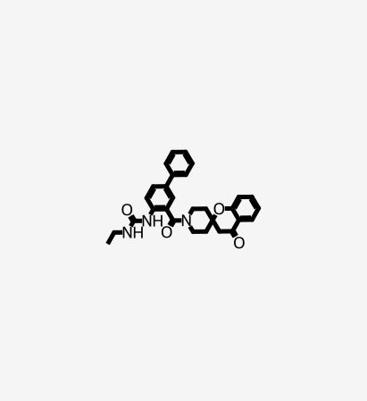 CCNC(=O)Nc1ccc(-c2ccccc2)cc1C(=O)N1CCC2(CC1)CC(=O)c1ccccc1O2